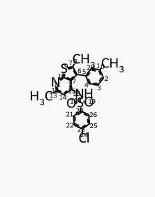 Cc1cccc(-c2c(C)sc3nc(C)cc(NS(=O)(=O)c4ccc(Cl)cc4)c23)c1